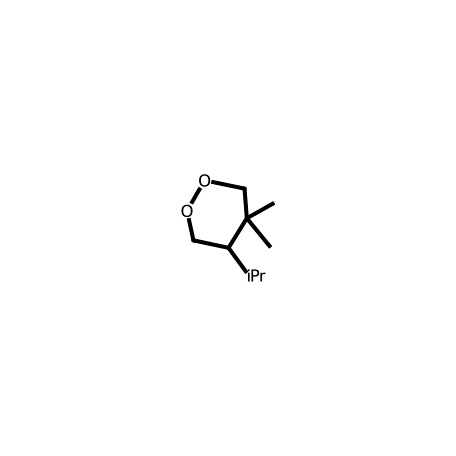 CC(C)C1COOCC1(C)C